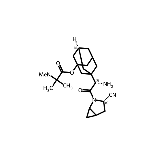 CNC(C)(C)C(=O)OC12CC3C[C@H](C1)CC([C@H](N)C(=O)N1C4CC4C[C@H]1C#N)(C3)C2